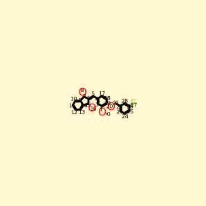 COc1cc(C=C2C(=O)c3ccccc3C2=O)ccc1OCc1cccc(F)c1